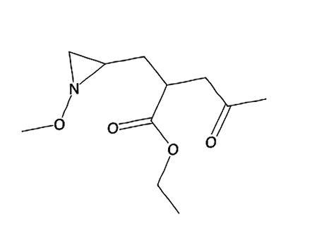 CCOC(=O)C(CC(C)=O)CC1CN1OC